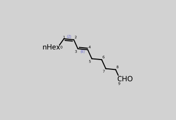 CCCCCC/C=C\C=C\CCCCC=O